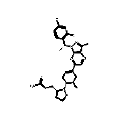 Cc1nn([C@H](C)c2ccc(Cl)cc2Cl)c2nc(C3=CC[C@H](N4CCC[C@H]4CCC(N)=O)C(C)C3)cnc12